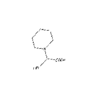 CCCC(OC)N1CCCCC1